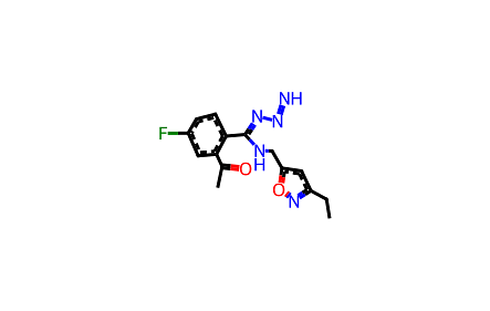 CCc1cc(CN/C(=N\N=N)c2ccc(F)cc2C(C)=O)on1